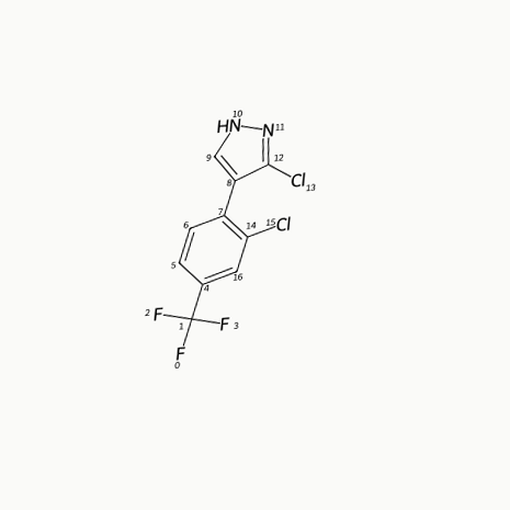 FC(F)(F)c1ccc(-c2c[nH]nc2Cl)c(Cl)c1